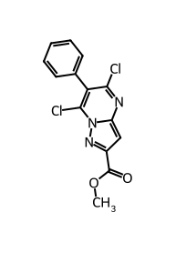 COC(=O)c1cc2nc(Cl)c(-c3ccccc3)c(Cl)n2n1